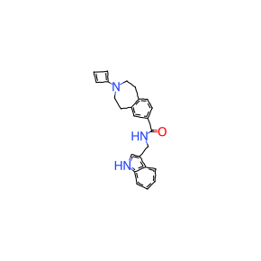 O=C(NCc1c[nH]c2ccccc12)c1ccc2c(c1)CCN(C1=CC=C1)CC2